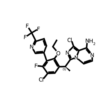 CCOc1c([C@H](C)c2nc(Cl)c3c(N)nccn23)cc(Cl)c(F)c1-c1ccc(C(F)(F)F)nc1